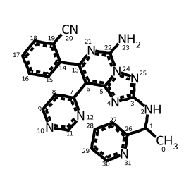 CC(Nc1nc2c(-c3ccncn3)c(-c3ccccc3C#N)nc(N)n2n1)c1ccccn1